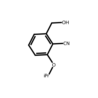 CC(C)Oc1cccc(CO)c1C#N